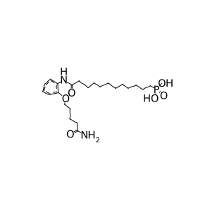 NC(=O)CCCCOc1ccccc1NC(=O)CCCCCCCCCCCP(=O)(O)O